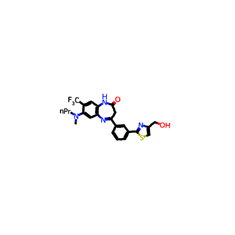 CCCN(C)c1cc2c(cc1C(F)(F)F)NC(=O)CC(c1cccc(-c3nc(CO)cs3)c1)=N2